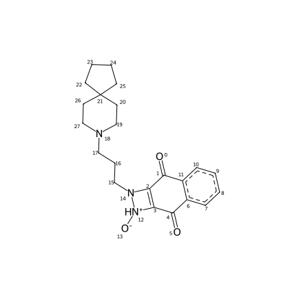 O=C1C2=C(C(=O)c3ccccc31)[NH+]([O-])N2CCCN1CCC2(CCCC2)CC1